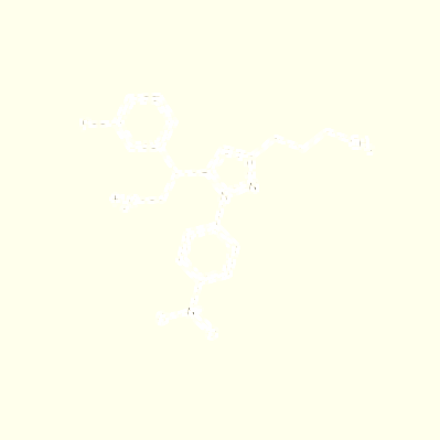 [CH2]CC(c1cccc(F)c1)c1cc(CCCC)nn1-c1ccc([N+](=O)[O-])cc1